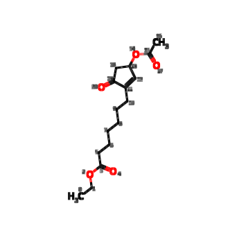 CCOC(=O)CCCCCCC1=CC(OC(C)=O)CC1=O